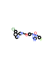 CN1CCC(N(Cc2ccc(F)cc2)C(=O)NCc2ccc(OCCCN3CCC(=C4c5ccc(Cl)cc5CCc5cccnc54)CC3)cc2)CC1